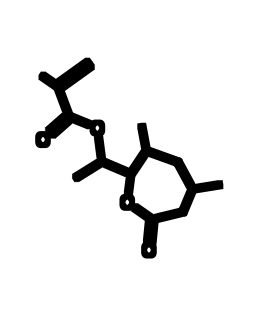 C=C(C)C(=O)OC(C)C1OC(=O)CC(C)CC1C